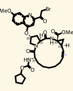 COC(=O)[C@@]12C[C@H]1/C=C\CCCCC[C@H](NC(=O)OC1CCCC1)C(=O)N1C[C@H](Oc3cc(C(=O)CBr)nc4cc(OC)ccc34)C[C@H]1C(=O)N2